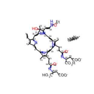 C=CC1=C(C)C2=CC3=NC(=CC4=NC(=CC5=C(C=CNOCC)C(C)(O)C(=CC1=N2)N5)C(C)=C4CCC([O-])=N[C@@H](CC(=O)[O-])C(=O)O)C(CCC([O-])=N[C@@H](CC(=O)[O-])C(=O)O)=C3C.[Na+].[Na+].[Na+].[Na+]